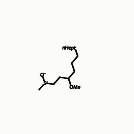 CCCCCCCCCCC(CC[S+](C)[O-])OC